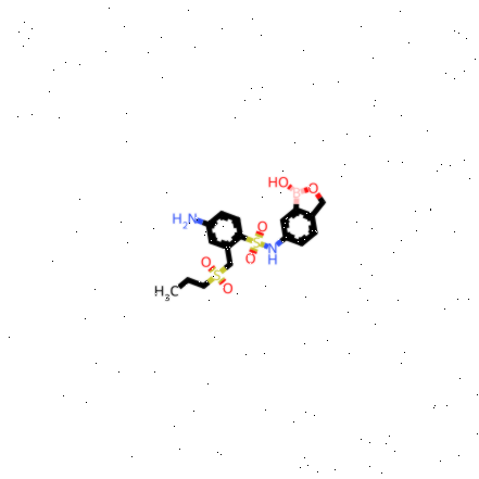 CCCS(=O)(=O)Cc1cc(N)ccc1S(=O)(=O)Nc1ccc2c(c1)B(O)OC2